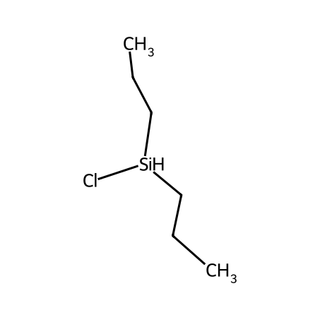 CCC[SiH](Cl)CCC